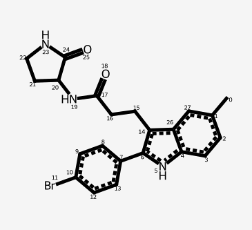 Cc1ccc2[nH]c(-c3ccc(Br)cc3)c(CCC(=O)NC3CCNC3=O)c2c1